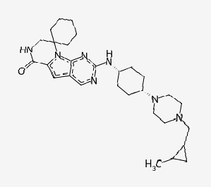 CC1CC1CN1CCN([C@H]2CC[C@@H](Nc3ncc4cc5n(c4n3)C3(CCCCC3)CNC5=O)CC2)CC1